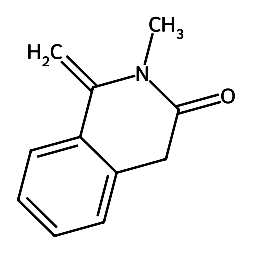 C=C1c2ccccc2CC(=O)N1C